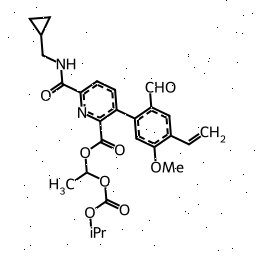 C=Cc1cc(C=O)c(-c2ccc(C(=O)NCC3CC3)nc2C(=O)OC(C)OC(=O)OC(C)C)cc1OC